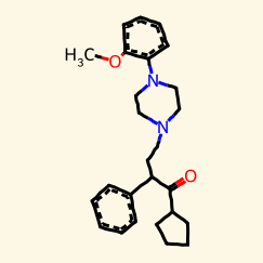 COc1ccccc1N1CCN(CCC(C(=O)C2CCCC2)c2ccccc2)CC1